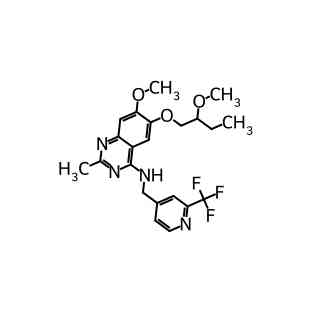 CCC(COc1cc2c(NCc3ccnc(C(F)(F)F)c3)nc(C)nc2cc1OC)OC